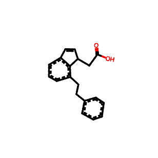 O=C(O)CC1C=Cc2cccc(CCc3ccccc3)c21